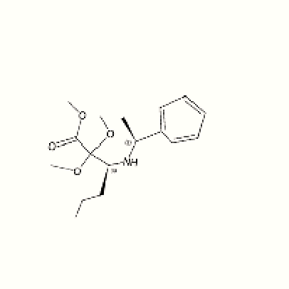 CCC[C@H](N[C@@H](C)c1ccccc1)C(OC)(OC)C(=O)OC